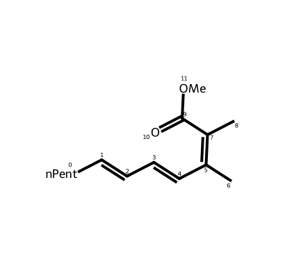 CCCCCC=CC=CC(C)=C(C)C(=O)OC